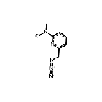 CN(Cl)c1cccc(CN=[N+]=[N-])n1